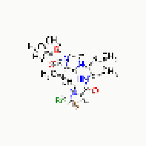 C=C/C=C(\C(=C/C)NC(=O)c1csc(Br)n1)N1CCN(C(=O)OC(C)(C)C)[C@@H](C(C)C)C1